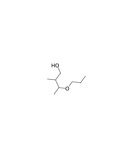 CCCOC(C)C(C)CO